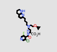 O=C(N[C@@H](CCN(CCCCc1ccc2c(n1)NCCC2)CCOC1CC1)C(=O)O)c1c(F)cncc1Cl